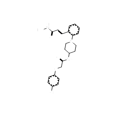 O=C(/C=C/c1ccccc1N1CCC(NC(=O)COc2ccc(Cl)cc2)CC1)NO